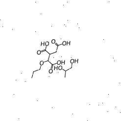 CC(O)CO.CCCOC(C(=O)O)C(CC(=O)O)C(=O)O